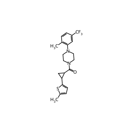 Cc1ccc(C2CC2C(=O)N2CCN(c3cc(C(F)(F)F)ccc3C)CC2)s1